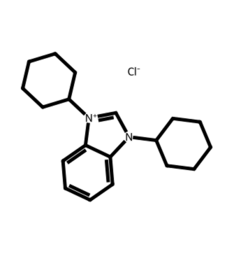 [Cl-].c1ccc2c(c1)n(C1CCCCC1)c[n+]2C1CCCCC1